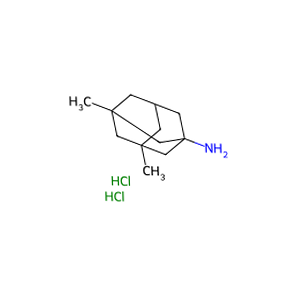 CC12CC3CC(C)(C1)CC(N)(C3)C2.Cl.Cl